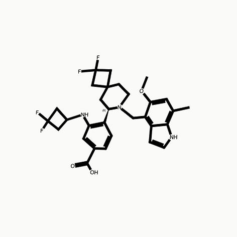 COc1cc(C)c2[nH]ccc2c1CN1CCC2(C[C@@H]1c1ccc(C(=O)O)cc1NC1CC(F)(F)C1)CC(F)(F)C2